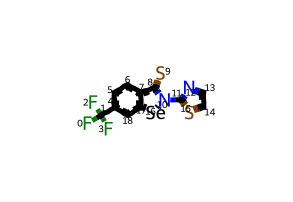 FC(F)(F)c1ccc2c(=S)n(-c3nccs3)[se]c2c1